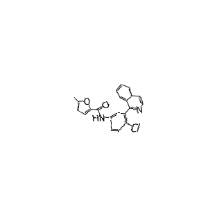 Cc1ccc(C(=O)Nc2ccc(Cl)c(-c3nccc4ccccc34)c2)o1